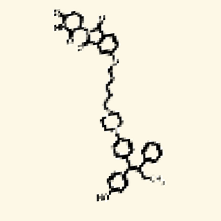 CCC(=C(c1ccc(O)cc1)c1ccc(N2CCN(CCCCCOc3ccc4c(c3)C(=O)N(C3CCC(=O)NC3=O)C4=O)CC2)cc1)c1ccccc1